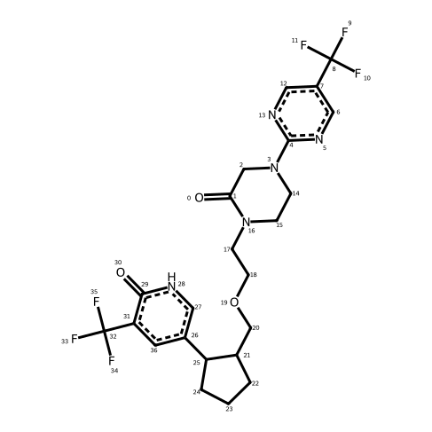 O=C1CN(c2ncc(C(F)(F)F)cn2)CCN1CCOCC1CCCC1c1c[nH]c(=O)c(C(F)(F)F)c1